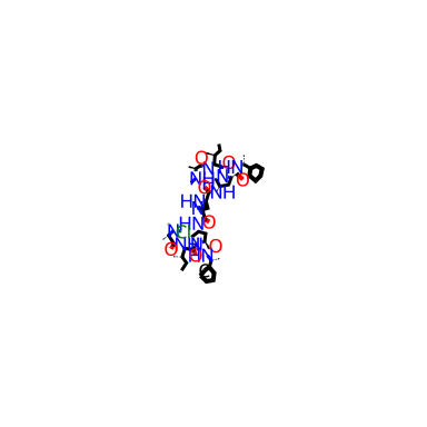 CC[C@H](C)[C@H](NC(=O)[C@H](C)NC)C(=O)N1C[C@@H](NC(=O)c2cc(C(=O)N[C@H]3C[C@@H](C(=O)N[C@H](C)c4ccccc4)N(C(=O)[C@@H](NC(=O)[C@H](C)N(C)Cl)[C@@H](C)CC)C3)n[nH]2)C[C@H]1C(=O)N[C@H](C)c1ccccc1